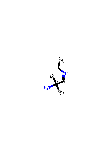 CC/N=C\C(C)(C)N